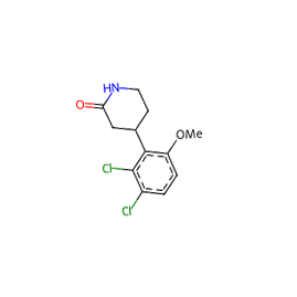 COc1ccc(Cl)c(Cl)c1C1CCNC(=O)C1